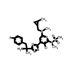 CC1CC1CN(C)c1cc(-c2nnc(C(C)(N)Cc3ccc(F)cc3)o2)c(Cl)c(N(C)S(C)(=O)=O)n1